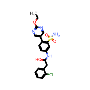 CCOc1ncc(-c2ccc(NC(O)Cc3ccccc3Cl)cc2S(N)(=O)=O)cn1